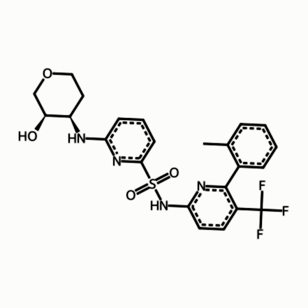 Cc1ccccc1-c1nc(NS(=O)(=O)c2cccc(N[C@@H]3CCOC[C@@H]3O)n2)ccc1C(F)(F)F